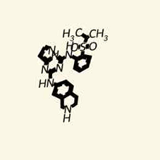 CC(C)S(=O)(=O)c1ccccc1Nc1nc(Nc2ccc3c(c2)CNCC3)nc2ccnn12